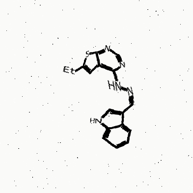 CCc1cc2c(N/N=C\c3c[nH]c4ccccc34)ncnc2s1